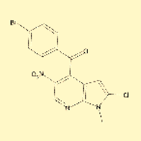 Cn1c(Cl)cc2c(C(=O)c3ccc(Br)cc3)c([N+](=O)[O-])cnc21